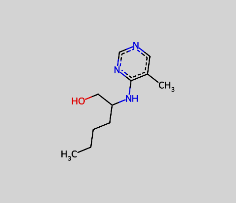 CCCCC(CO)Nc1ncncc1C